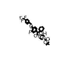 CC(C)(C)OC(=O)N1CCN(C(=O)C(c2ccc(OCc3ccc(C(F)(F)F)cc3)c(F)c2)C2(O)CCCCC2)CC1